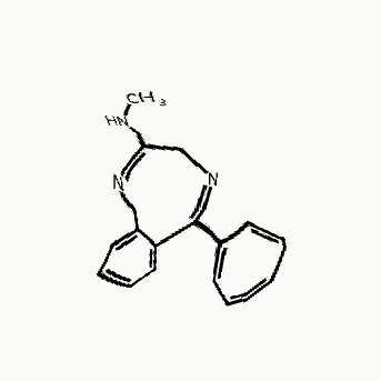 CNC1=Nc2ccccc2C(c2ccccc2)=NC1